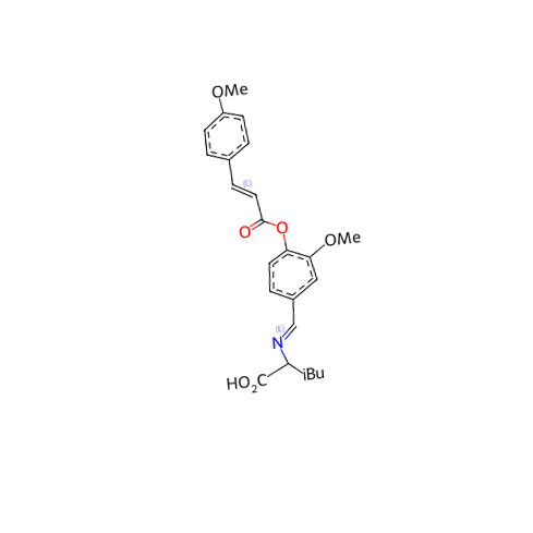 CCC(C)C(/N=C/c1ccc(OC(=O)/C=C/c2ccc(OC)cc2)c(OC)c1)C(=O)O